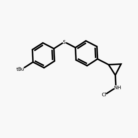 CC(C)(C)c1ccc(Sc2ccc(C3CC3NCl)cc2)cc1